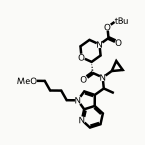 COCCCCn1cc(C(C)N(C(=O)[C@H]2CN(C(=O)OC(C)(C)C)CCO2)C2CC2)c2cccnc21